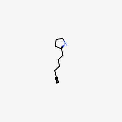 C#CCCCCC1=NCCC1